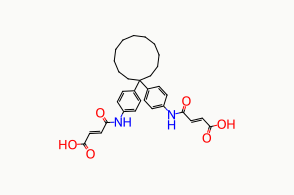 O=C(O)/C=C/C(=O)Nc1ccc(C2(c3ccc(NC(=O)/C=C/C(=O)O)cc3)CCCCCCCCCCC2)cc1